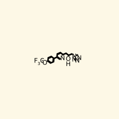 OC(Cc1ccc(-c2ccc(OC(F)(F)F)cc2)cn1)Cn1cnnn1